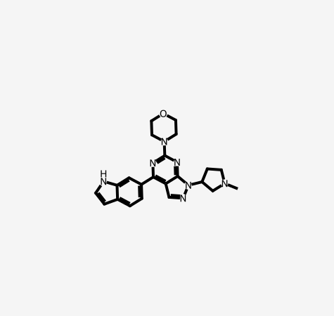 CN1CCC(n2ncc3c(-c4ccc5cc[nH]c5c4)nc(N4CCOCC4)nc32)C1